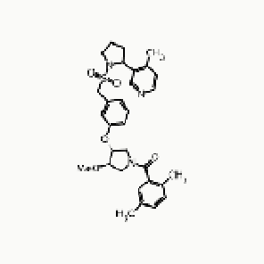 CO[C@@H]1CN(C(=O)c2cc(C)ccc2C)C[C@H]1Oc1cccc(CS(=O)(=O)N2CCCC2c2cnccc2C)c1